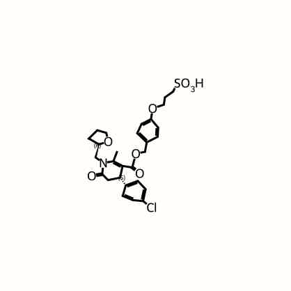 CC1=C(C(=O)OCc2ccc(OCCCS(=O)(=O)O)cc2)[C@H](c2ccc(Cl)cc2)CC(=O)N1C[C@H]1CCCO1